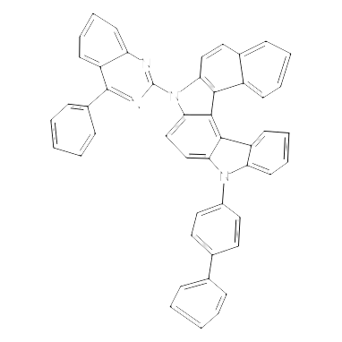 c1ccc(-c2ccc(-n3c4ccccc4c4c5c6c7ccccc7ccc6n(-c6nc(-c7ccccc7)c7ccccc7n6)c5ccc43)cc2)cc1